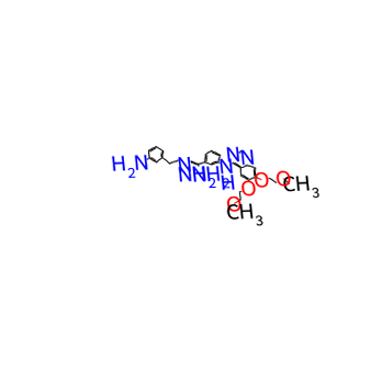 COCCOc1cc2ncnc(Nc3cccc(/C(N)=C/N(N)CCc4cccc(N)c4)c3)c2cc1OCCOC